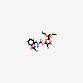 CCOC(C)(OCC)C(=O)OC(OC(=O)NCC1(OC(C)=O)CCCCC1)C(C)C